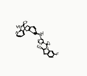 CCC1Cc2ccc(F)cc2N1C(=O)c1cc(Nc2ccc3c(c2)CC2(C3)C(=O)Nc3ncccc32)ncn1